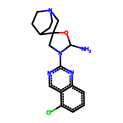 NC1OC2(CN3CCC2CC3)CN1c1ncc2c(Cl)cccc2n1